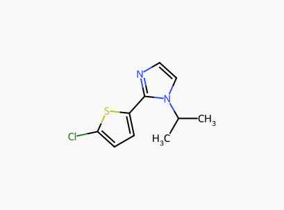 CC(C)n1ccnc1-c1ccc(Cl)s1